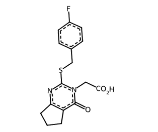 O=C(O)Cn1c(SCc2ccc(F)cc2)nc2c(c1=O)CCC2